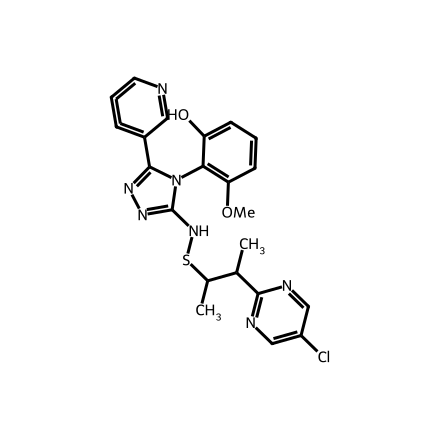 COc1cccc(O)c1-n1c(NSC(C)C(C)c2ncc(Cl)cn2)nnc1C1=C=C=CN=C1